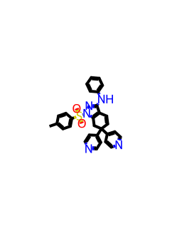 Cc1ccc(S(=O)(=O)n2nc(Nc3ccccc3)c3c2CC(c2ccncc2)(c2ccncc2)C=C3)cc1